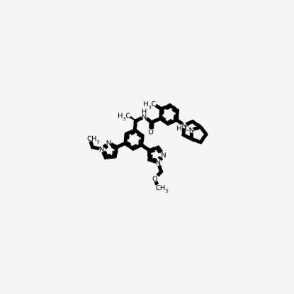 CCn1ccc(-c2cc(-c3cnn(COC)c3)cc([C@@H](C)NC(=O)c3cc(N4CC5CCC(C4)N5C)ccc3C)c2)n1